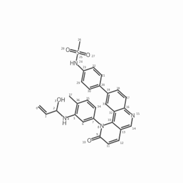 C=CC(O)Nc1cc(-n2c(=O)ccc3cnc4ccc(-c5ccc(NS(C)(=O)=O)cc5)cc4c32)ccc1C